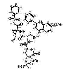 C=C[C@@H]1C[C@]1(NC(=O)[C@@H]1C[C@@H](Oc2cc(-c3ccccc3)nc3cc(OC)ccc23)CN1C(=O)[C@H](CCO[Si](C)(C)C(C)(C)C)NC(=O)OC(C)(C)C)C(=O)NS(=O)(=O)c1ccccc1